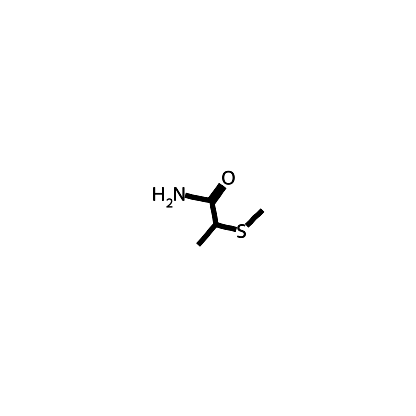 CSC(C)C(N)=O